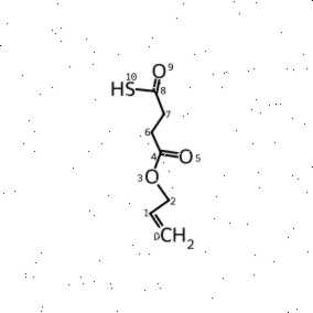 C=CCOC(=O)CCC(=O)S